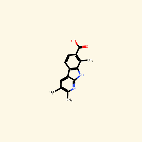 Cc1cc2c(nc1C)[nH]c1c(C)c(C(=O)O)ccc12